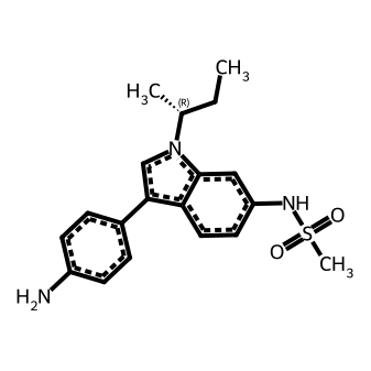 CC[C@@H](C)n1cc(-c2ccc(N)cc2)c2ccc(NS(C)(=O)=O)cc21